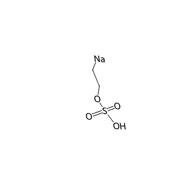 O=S(=O)(O)OC[CH2][Na]